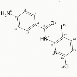 Nc1ccc(C(=O)Nc2nc(Cl)ccc2I)cc1